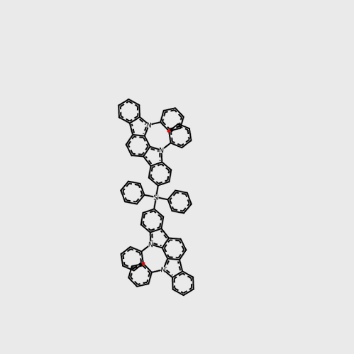 c1ccc(-n2c3ccccc3c3ccc4c5cc([Si](c6ccccc6)(c6ccccc6)c6ccc7c(c6)c6ccc8c9ccccc9n(-c9ccccc9)c8c6n7-c6ccccc6)ccc5n(-c5ccccc5)c4c32)cc1